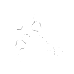 COc1ccc(OCCC[N+]2(O)CCCC2)c(C2Sc3cc(Cl)ccc3N2C(C)=O)c1.Cl